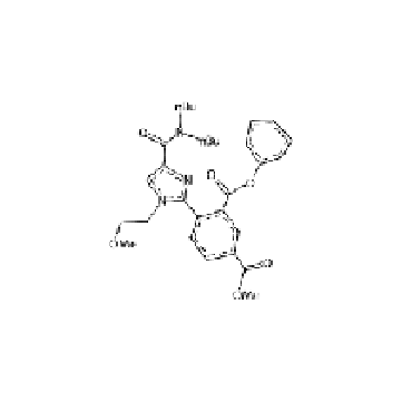 CCCCN(CCCC)C(=O)c1cn(CCOC)c(-c2ccc(C(=O)OC)cc2C(=O)Oc2ccccc2)n1